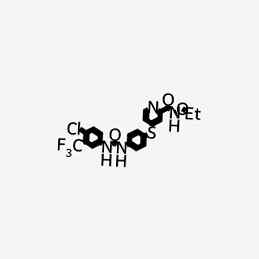 CCONC(=O)c1cc(Sc2ccc(NC(=O)Nc3ccc(Cl)c(C(F)(F)F)c3)cc2)ccn1